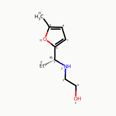 CC[C@@H](NCCO)c1ccc(C)o1